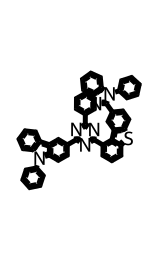 c1ccc(-c2nc(-c3ccc4c(c3)c3ccccc3n4-c3ccccc3)nc(-c3cccc4sc5ccc(-c6nc7ccccc7n6-c6ccccc6)cc5c34)n2)cc1